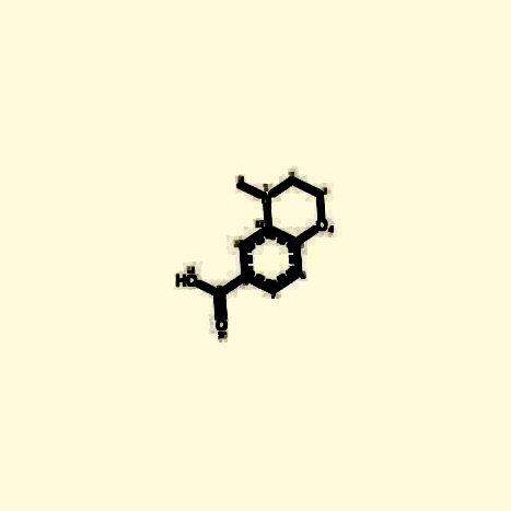 CN1CCOc2ccc(C(=O)O)cc21